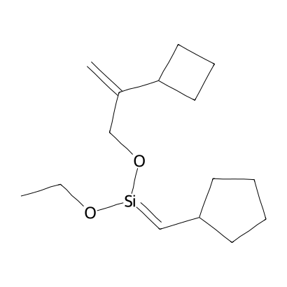 C=C(CO[Si](=CC1CCCC1)OCC)C1CCC1